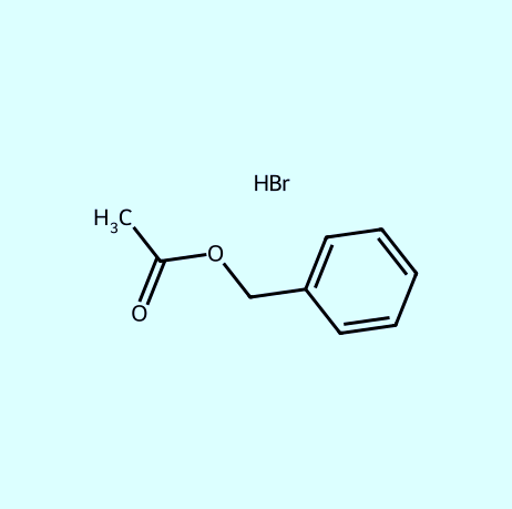 Br.CC(=O)OCc1ccccc1